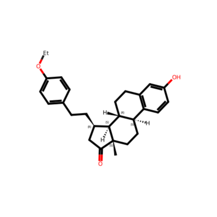 CCOc1ccc(CC[C@@H]2CC(=O)[C@@]3(C)CC[C@@H]4c5ccc(O)cc5CC[C@H]4[C@H]23)cc1